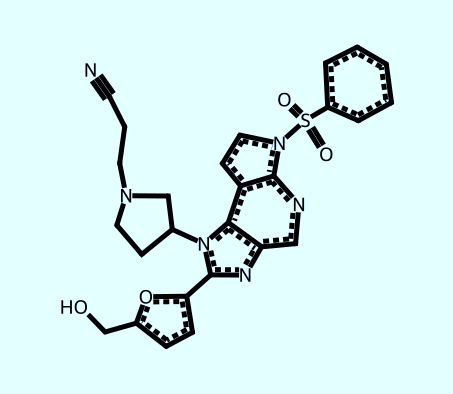 N#CCCN1CCC(n2c(-c3ccc(CO)o3)nc3cnc4c(ccn4S(=O)(=O)c4ccccc4)c32)C1